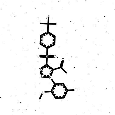 COc1ccc(Cl)cc1-n1nnc(S(=O)(=O)c2ccc(C(C)(C)C)cc2)c1C(C)=O